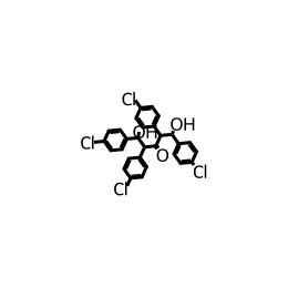 O=C(C(c1ccc(Cl)cc1)C(O)c1ccc(Cl)cc1)C(c1ccc(Cl)cc1)C(O)c1ccc(Cl)cc1